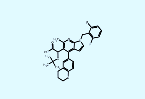 Cc1nc2c(ccn2Cc2c(F)cccc2F)c(-c2ccc3c(c2)CCCO3)c1C(OC(C)(C)C)C(=O)O